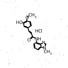 COc1ccc(C=CC(=O)Nc2cccc3c2ncn3C)cc1O.Cl